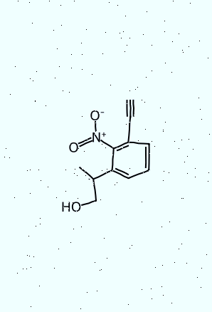 C#Cc1cccc([C](C)CO)c1[N+](=O)[O-]